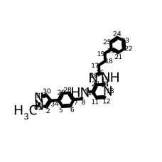 Cn1cc(-c2ccc(CNc3ccnc4[nH]c(CCCc5ccccc5)nc34)cc2)cn1